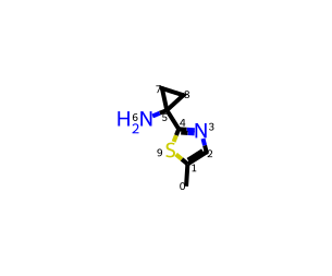 Cc1cnc(C2(N)CC2)s1